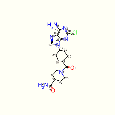 NC(=O)C1CCN(C(=O)C2CCC(n3cnc4c(N)nc(Cl)nc43)CC2)CC1